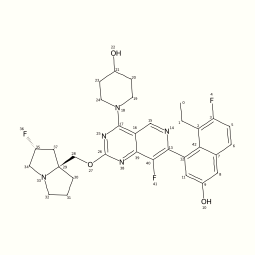 CCc1c(F)ccc2cc(O)cc(-c3ncc4c(N5CCC(O)CC5)nc(OC[C@@]56CCCN5C[C@H](F)C6)nc4c3F)c12